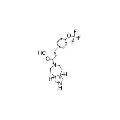 Cl.O=C(C=Cc1ccc(OC(F)(F)F)cc1)N1CC[C@@H]2CNC[C@@H]2CC1